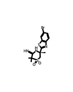 CC1(C)C(=N)N[C@](C)(c2nc3ccc(Br)cc3s2)CS1(=O)=O